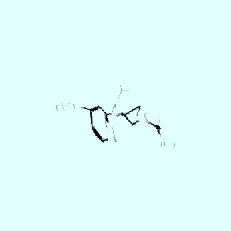 CC(C)C(=O)N1CC(Nc2cc(C(C)(C)C)ccn2)C1